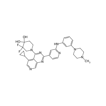 CN1CCN(c2cccc(Nc3cc(-c4nc(N5CCC(O)(O)C(F)(F)C5)c5c(C6CC6)cncc5n4)ccn3)c2)CC1